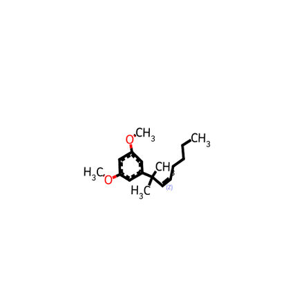 CCCC/C=C\C(C)(C)c1cc(OC)cc(OC)c1